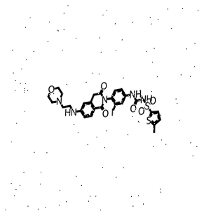 Cc1ccc(S(=O)(=O)NC(=O)Nc2ccc(N3C(=O)Cc4cc(NCCN5CCOCC5)ccc4C3=O)c(I)c2)s1